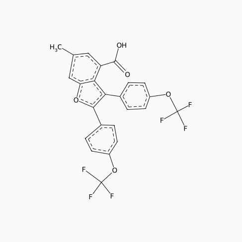 Cc1cc(C(=O)O)c2c(-c3ccc(OC(F)(F)F)cc3)c(-c3ccc(OC(F)(F)F)cc3)oc2c1